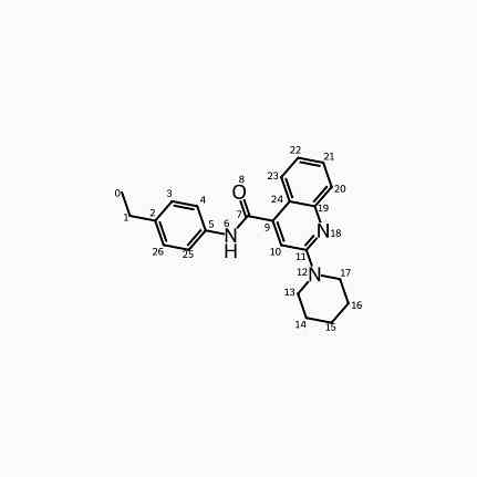 CCc1ccc(NC(=O)c2cc(N3CCCCC3)nc3ccccc23)cc1